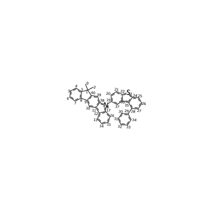 CC1(C)c2ccccc2-c2cc3c4ccccc4n(-c4ccc5sc6cccc(-c7ccccc7)c6c5c4)c3cc21